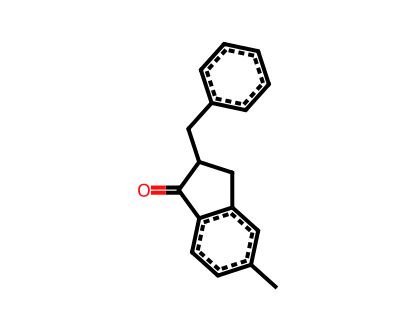 Cc1ccc2c(c1)CC(Cc1ccccc1)C2=O